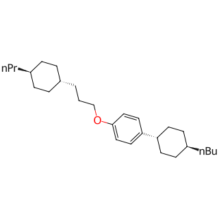 CCCC[C@H]1CC[C@H](c2ccc(OCCC[C@H]3CC[C@H](CCC)CC3)cc2)CC1